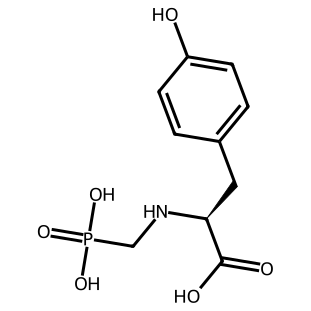 O=C(O)[C@H](Cc1ccc(O)cc1)NCP(=O)(O)O